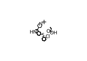 C=CC(=O)O.CC(C)(C)CN1CCC(c2c[nH]c3ccc(Sc4ccccc4Cl)cc23)CC1